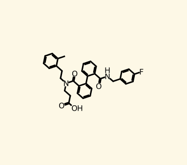 Cc1ccccc1CCN(CCC(=O)O)C(=O)c1ccccc1-c1ccccc1C(=O)NCc1ccc(F)cc1